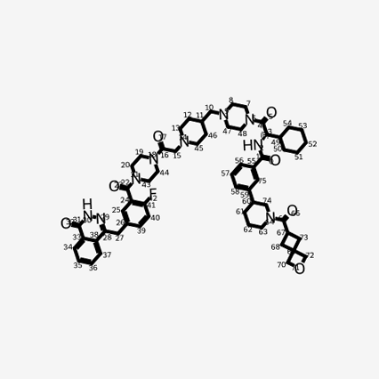 O=C(N[C@@H](C(=O)N1CCN(CC2CCN(CC(=O)N3CCN(C(=O)c4cc(Cc5n[nH]c(=O)c6ccccc56)ccc4F)CC3)CC2)CC1)C1CCCCC1)c1cccc(C2CCCN(C(=O)C3CC4(COC4)C3)C2)c1